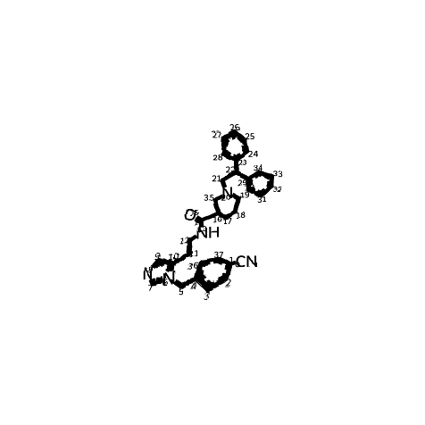 N#Cc1ccc(Cn2cncc2CCNC(=O)C2CCCN(CC(c3ccccc3)c3ccccc3)C2)cc1